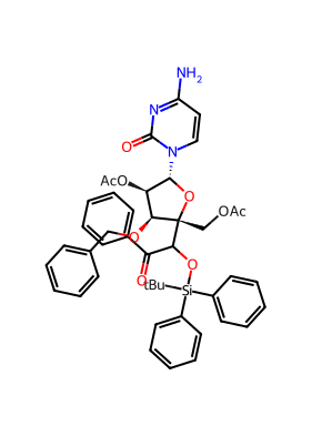 CC(=O)OC[C@]1(C(O[Si](c2ccccc2)(c2ccccc2)C(C)(C)C)C(=O)c2ccccc2)O[C@@H](n2ccc(N)nc2=O)[C@H](OC(C)=O)[C@@H]1OCc1ccccc1